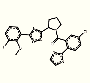 COc1c(F)cccc1-c1nc(C2CCCN2C(=O)c2cc(Cl)ccc2-n2nccn2)no1